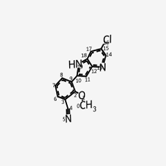 COc1c(C#N)cccc1-c1cc2ncc(Cl)cc2[nH]1